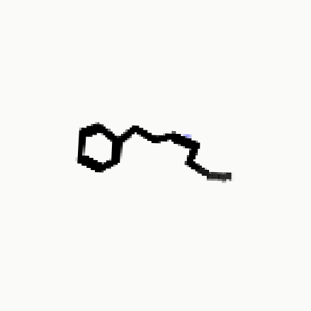 CCCCCCCC/C=C\CCc1ccccc1